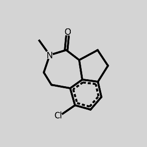 CN1CCc2c(Cl)ccc3c2C(CC3)C1=O